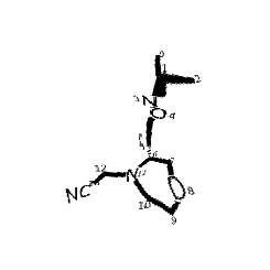 CC(C)=NOC[C@@H]1COCCN1CC#N